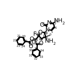 C[C@]1(N)[C@H](n2ccc(N)nc2=O)O[C@](F)(COC(=O)c2ccccc2)[C@H]1OC(=O)c1ccccc1